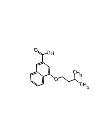 CC(C)CCOc1cc(C(=O)O)cc2ccccc12